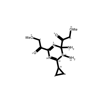 COCC(=O)C1=NC(N)(C(=O)COC)N(N)C(C2CC2)=N1